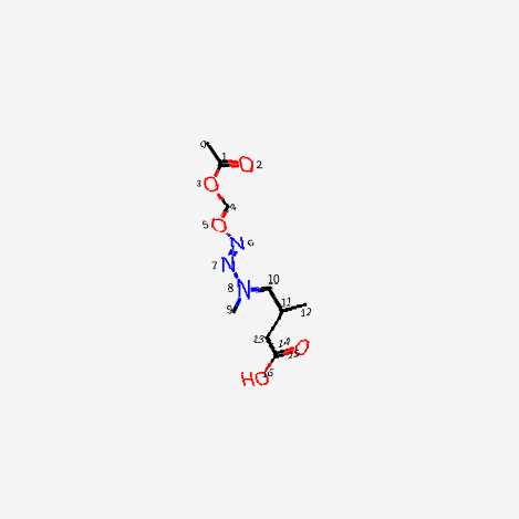 CC(=O)OCON=NN(C)CC(C)CC(=O)O